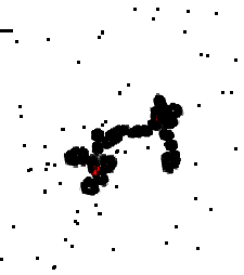 C1=CCC2C(=C1)C1(c3ccccc3-c3c(N(c4ccc(-c5ccc(-c6cccc7ccccc67)cc5)cc4)c4cccc(-c5ccc6ccc(-c7cccc8c(-c9ccccc9-c9ccc(N(c%10cccc(-c%11ccc%12ccccc%12c%11)c%10)c%10ccccc%10-c%10ccc(-c%11ccccc%11)cc%10)cc9)cccc78)cc6c5)c4)cccc31)c1ccccc12